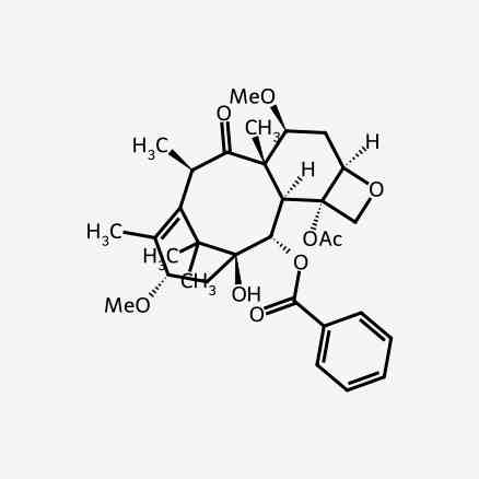 CO[C@H]1C[C@@]2(O)[C@@H](OC(=O)c3ccccc3)[C@@H]3[C@]4(OC(C)=O)CO[C@@H]4C[C@H](OC)[C@@]3(C)C(=O)[C@H](C)C(=C1C)C2(C)C